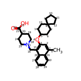 Cc1cc(OC2CCC3(CCCC3)CC2)c(CN2CCC(C(=O)O)CC2)c2ccccc12